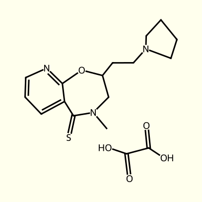 CN1CC(CCN2CCCC2)Oc2ncccc2C1=S.O=C(O)C(=O)O